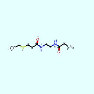 CCSCCC(=O)NCCNC(=O)CC